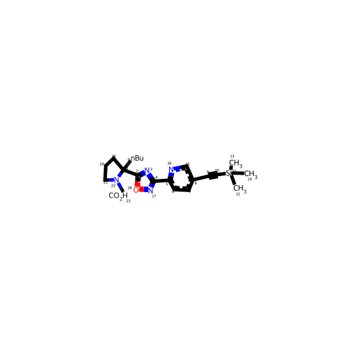 CCCCC1(c2nc(-c3ccc(C#C[Si](C)(C)C)cn3)no2)CCCN1C(=O)O